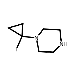 IC1(N2CCNCC2)CC1